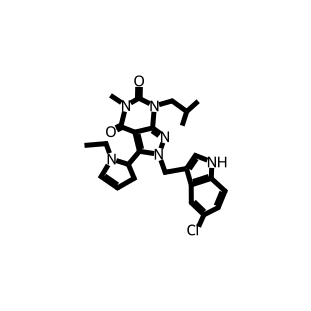 CCN1C=CCC1c1c2c(=O)n(C)c(=O)n(CC(C)C)c2nn1Cc1c[nH]c2ccc(Cl)cc12